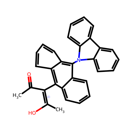 CC(=O)/C(=C(/C)O)c1c2ccccc2c(-n2c3ccccc3c3ccccc32)c2ccccc12